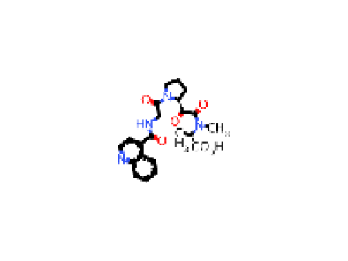 C[C@@H](C(=O)O)N(C)C(=O)C(=O)[C@@H]1CCCN1C(=O)CNC(=O)c1ccnc2ccccc12